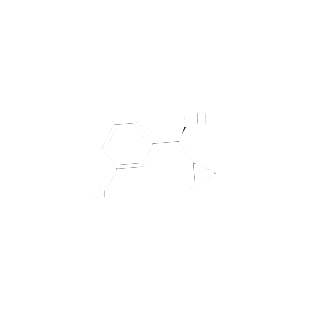 O[C@H](c1cccc(Br)c1)C1CO1